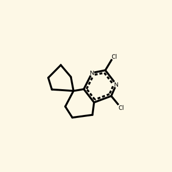 Clc1nc(Cl)c2c(n1)C1(CCCC1)CCC2